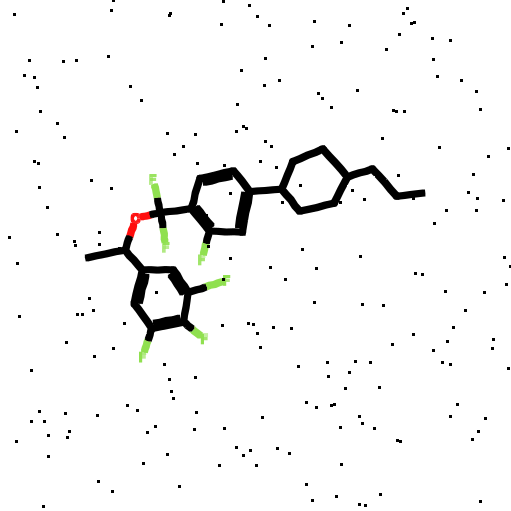 CCCC1CCC(c2ccc(C(F)(F)OC(C)c3cc(F)c(F)c(F)c3)c(F)c2)CC1